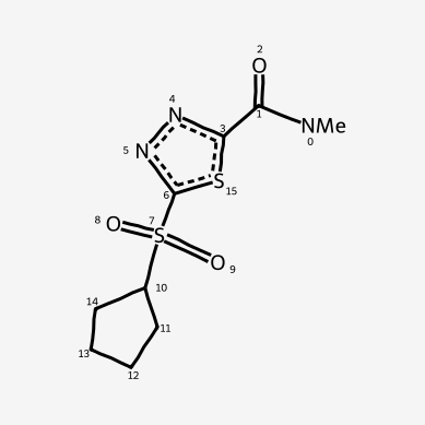 CNC(=O)c1nnc(S(=O)(=O)C2CCCC2)s1